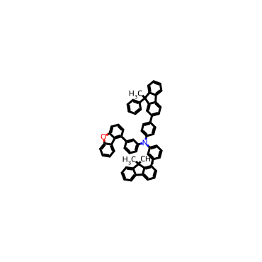 CC1(C)c2ccccc2-c2cccc(-c3cccc(N(c4ccc(-c5ccc6c(c5)C(C)(c5ccccc5)c5ccccc5-6)cc4)c4cccc(-c5cccc6oc7ccccc7c56)c4)c3)c21